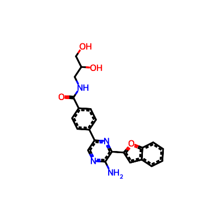 Nc1ncc(-c2ccc(C(=O)NCC(O)CO)cc2)nc1-c1cc2ccccc2o1